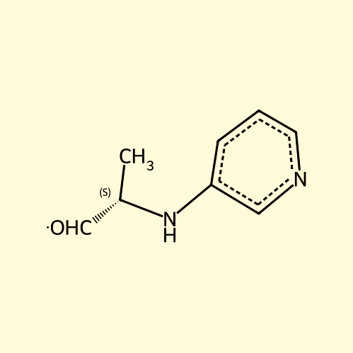 C[C@@H]([C]=O)Nc1cccnc1